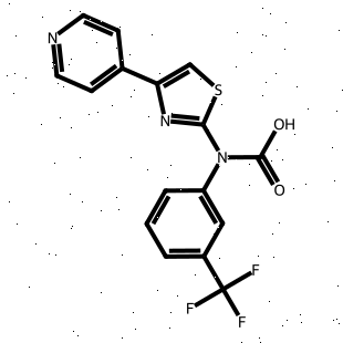 O=C(O)N(c1cccc(C(F)(F)F)c1)c1nc(-c2ccncc2)cs1